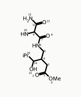 COC(=O)CC(CNC(=O)C([NH])C(N)=O)C(O)C(C)C